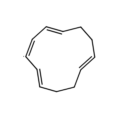 [C]1=C\C=C\CC/C=C/CC/C=C/1